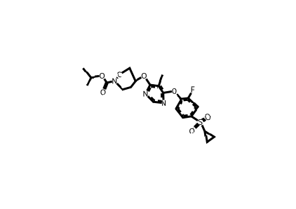 Cc1c(Oc2ccc(S(=O)(=O)C3CC3)cc2F)ncnc1OC1CCN(C(=O)OC(C)C)CC1